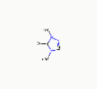 CCCCN1C=NN(CCC)C1CC